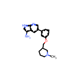 CN1CCCC(COc2cccc(-c3cnc4[nH]cc(N)c4c3)c2)C1